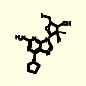 C[C@@]1(F)[C@H](O)[C@H](CI)O[C@H]1n1cnc2c(N3CCCC3)nc(N)nc21